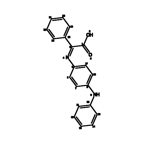 O=C(O)C(=Nc1ccc(Nc2ccccc2)cc1)c1ccccc1